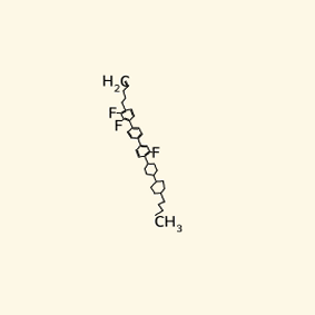 C=CCCCc1ccc(-c2ccc(-c3ccc(C4CCC(C5CCC(CCCCC)CC5)CC4)c(F)c3)cc2)c(F)c1F